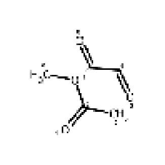 COC(C)=O.O=CC=O